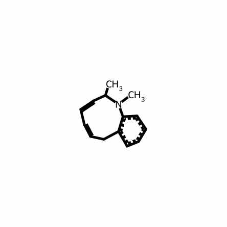 CC1/C=C\C=C/Cc2ccccc2N1C